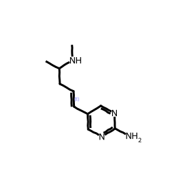 CNC(C)C/C=C/c1cnc(N)nc1